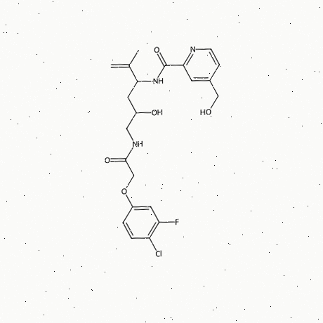 C=C(C)C(CC(O)CNC(=O)COc1ccc(Cl)c(F)c1)NC(=O)c1cc(CO)ccn1